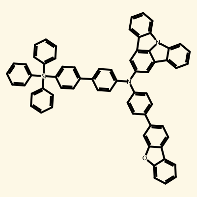 c1ccc([Si](c2ccccc2)(c2ccccc2)c2ccc(-c3ccc(N(c4ccc(-c5ccc6c(c5)oc5ccccc56)cc4)c4cc5c6ccccc6n6c7ccccc7c(c4)c56)cc3)cc2)cc1